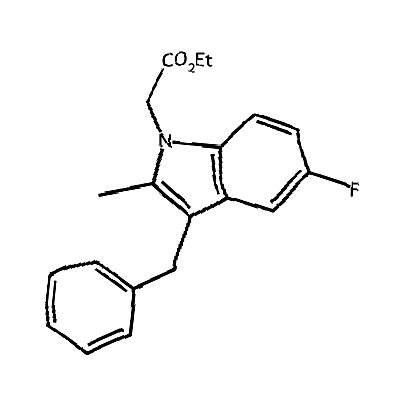 CCOC(=O)Cn1c(C)c(Cc2ccccc2)c2cc(F)ccc21